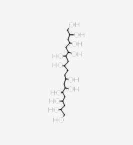 OCC(O)CC(O)CC(O)C(O)CC(O)CCC(O)CC(O)C(O)CC(O)CC(O)CO